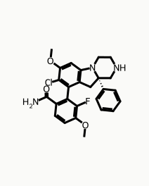 COc1ccc(C(N)=O)c(-c2c(Cl)c(OC)cc3c2C[C@]2(c4ccccc4)CNCCN32)c1F